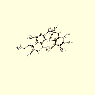 CCCN1C(=O)OC(C)c2cc(NS(=O)(=O)Cc3c(F)c(F)c(C)c(F)c3F)cc(O)c21